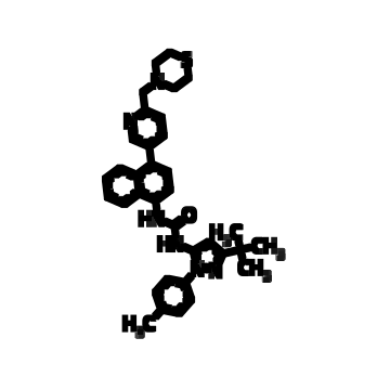 Cc1ccc(-n2nc(C(C)(C)C)cc2NC(=O)Nc2ccc(-c3ccc(CN4CCSCC4)nc3)c3ccccc23)cc1